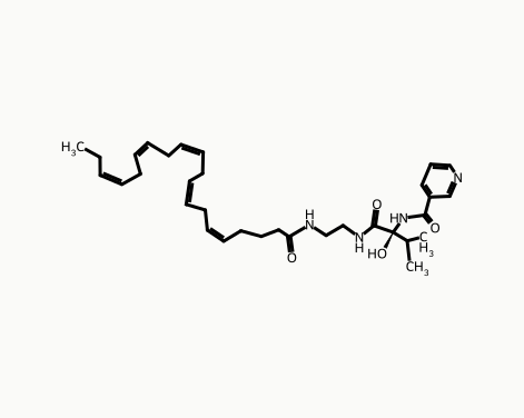 CC/C=C\C/C=C\C/C=C\C/C=C\C/C=C\CCCC(=O)NCCNC(=O)[C@](O)(NC(=O)c1cccnc1)C(C)C